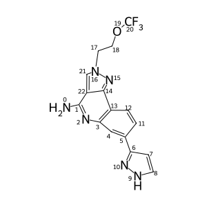 Nc1nc2cc(-c3cc[nH]n3)ccc2c2nn(CCOC(F)(F)F)cc12